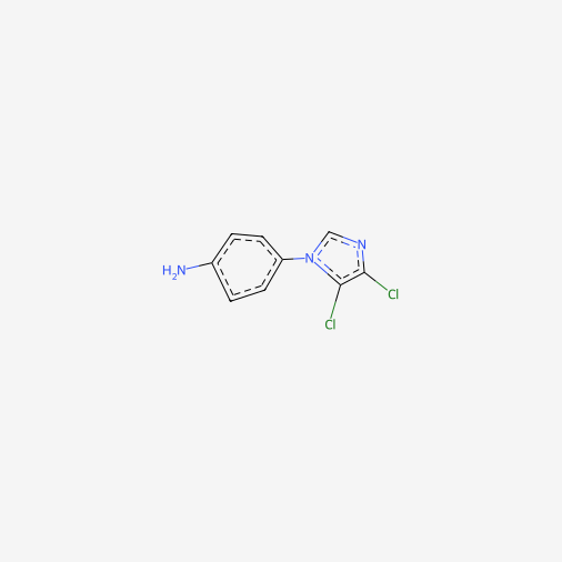 Nc1ccc(-n2cnc(Cl)c2Cl)cc1